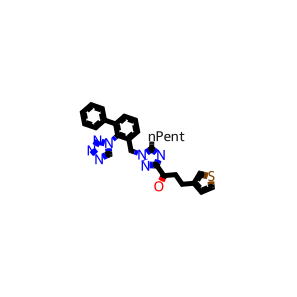 CCCCCc1nc(C(=O)CCc2ccsc2)nn1Cc1cccc(-c2ccccc2)c1-n1cnnn1